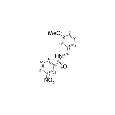 COc1cccc(CNC(=O)c2cccc([N+](=O)[O-])c2)c1